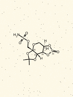 CC1(C)O[C@H]2[C@@H]3O[S@](=O)O[C@@H]3CO[C@@]2(COS(N)(=O)=O)O1